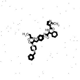 CCC(=O)NC(Cc1ccc(NC(=O)C(NC(=O)c2ccnn2C)C2CCCCC2)cc1)C(=O)N1CCN(Cc2ccccc2)CC1